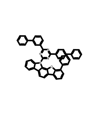 c1ccc(-c2ccc(-c3nc(-c4cccc(-c5ccccc5)c4)nc(-n4c5ccccc5c5ccc6c7cccc(-c8ccccc8)c7oc6c54)n3)cc2)cc1